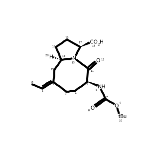 CC=C1CC[C@H](NC(=O)OC(C)(C)C)C(=O)N2[C@H](CC[C@H]2C(=O)O)C1